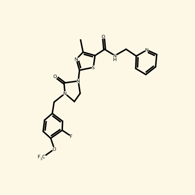 Cc1nc(N2CCN(Cc3ccc(OC(F)(F)F)c(F)c3)C2=O)sc1C(=O)NCc1ccccn1